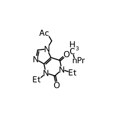 CCCC.CCn1c(=O)c2c(ncn2CC(C)=O)n(CC)c1=O